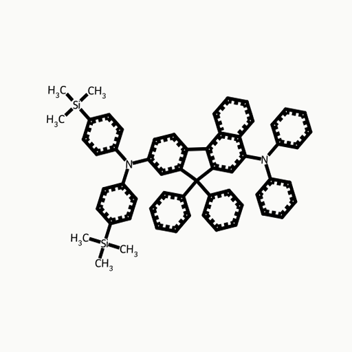 C[Si](C)(C)c1ccc(N(c2ccc([Si](C)(C)C)cc2)c2ccc3c(c2)C(c2ccccc2)(c2ccccc2)c2cc(N(c4ccccc4)c4ccccc4)c4ccccc4c2-3)cc1